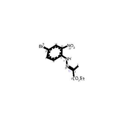 CCOC(=O)/C(C)=N/Nc1ccc(Br)cc1[N+](=O)[O-]